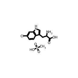 CS(=O)(=O)O.NC(Cc1c[nH]c2cc(Cl)ccc12)C(=O)O